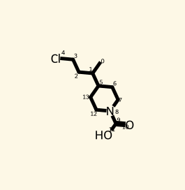 CC(CCCl)C1CCN(C(=O)O)CC1